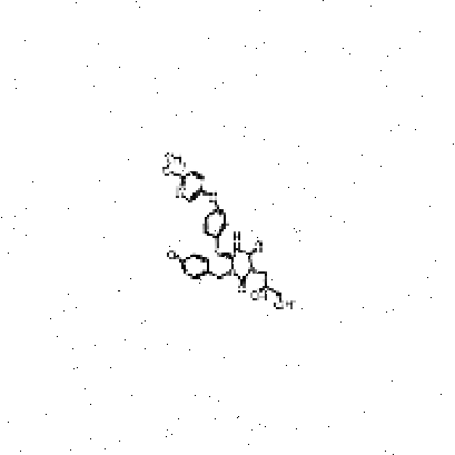 COc1ccc(Oc2ccc(/N=c3\[nH]c(=O)n(CC(O)CO)c(=O)n3Cc3ccc(Cl)cc3)cc2)cn1